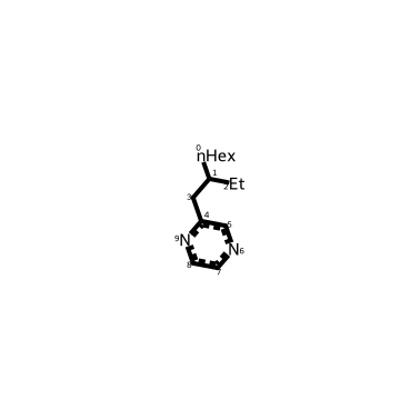 CCCCCCC(CC)Cc1cnccn1